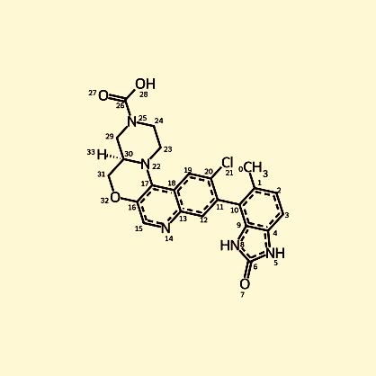 Cc1ccc2[nH]c(=O)[nH]c2c1-c1cc2ncc3c(c2cc1Cl)N1CCN(C(=O)O)C[C@@H]1CO3